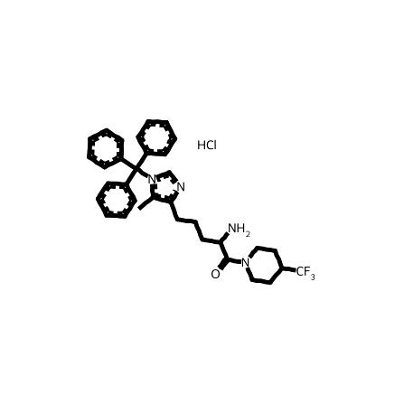 Cc1c(CCCC(N)C(=O)N2CCC(C(F)(F)F)CC2)ncn1C(c1ccccc1)(c1ccccc1)c1ccccc1.Cl